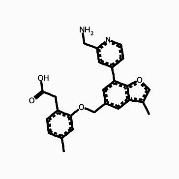 Cc1ccc(CC(=O)O)c(OCc2cc(-c3ccnc(CN)c3)c3occ(C)c3c2)c1